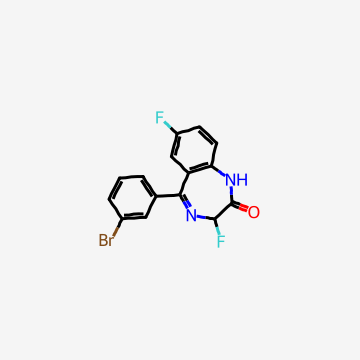 O=C1Nc2ccc(F)cc2C(c2cccc(Br)c2)=NC1F